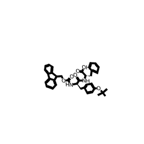 CC(C)(C)Oc1ccc(C[C@@H](NC(=O)OCC2c3ccccc3-c3ccccc32)C(=O)N[C@@H](Cc2ccccc2)C(=O)O)cc1